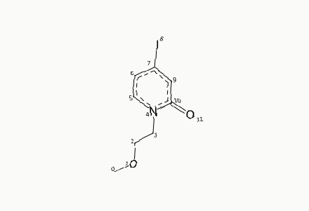 COCCn1ccc(I)cc1=O